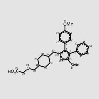 COc1ccc(-c2c(-c3ccccc3)c(SC)nn2CC2CCC(COCC(=O)O)CC2)cc1